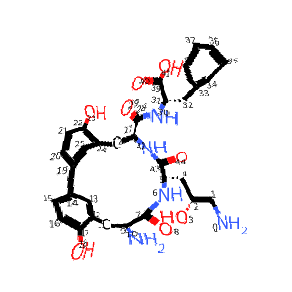 NC[C@H](O)C[C@@H]1NC(=O)[C@@H](N)Cc2cc(ccc2O)-c2ccc(O)c(c2)C[C@@H](C(=O)N[C@@H](Cc2ccccc2)C(=O)O)NC1=O